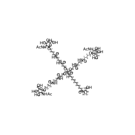 CC(=O)NC1C(OCCCCC(=O)NCCCNC(=O)CCOCC(COCCC(=O)NCCCNC(=O)CCCCOC2OC(CO)C(O)C(O)C2NC(C)=O)(COCCC(=O)NCCCNC(=O)CCCCOC2OC(CO)C(O)C(O)C2NC(C)=O)NC(=O)CCCCCCCCCCC(=O)N2CCC[C@H]2CO)OC(CO)C(O)C1O